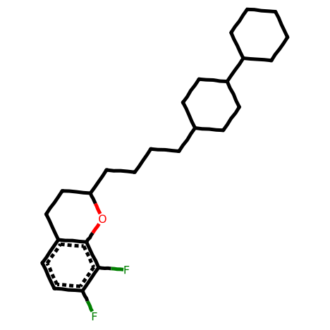 Fc1ccc2c(c1F)OC(CCCCC1CCC(C3CCCCC3)CC1)CC2